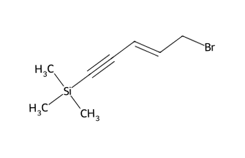 C[Si](C)(C)C#CC=CCBr